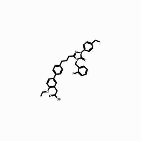 CCOc1ccc(-c2ccc(CCCc3nn(-c4ccc(CI)cc4)c(=O)n3Cc3ccccc3F)cc2)cc1CC(=O)O